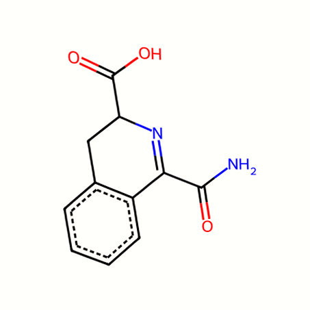 NC(=O)C1=NC(C(=O)O)Cc2ccccc21